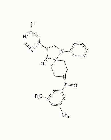 O=C(c1cc(C(F)(F)F)cc(C(F)(F)F)c1)N1CCC2(CC1)C(=O)N(c1cc(Cl)ncn1)CN2c1ccccc1